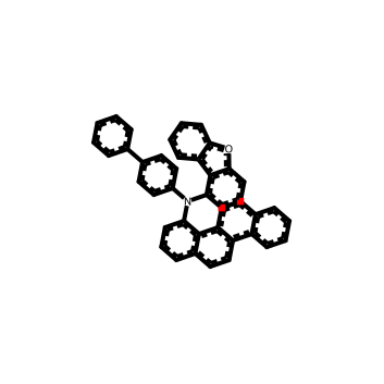 c1ccc(-c2ccc(N(c3cccc4ccc5c6ccccc6ccc5c34)c3cccc4oc5ccccc5c34)cc2)cc1